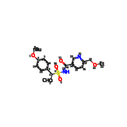 CCCCOc1ccc(C(C=O)S(=O)(=O)NC(=O)c2ccc(COCC)nc2)cc1